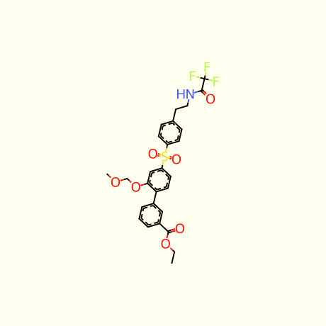 CCOC(=O)c1cccc(-c2ccc(S(=O)(=O)c3ccc(CCNC(=O)C(F)(F)F)cc3)cc2OCOC)c1